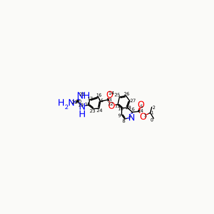 CC(C)OC(=O)c1nccc2c(OC(=O)c3ccc(NC(=N)N)cc3)cccc12